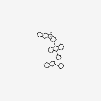 c1ccc(-c2ccc3ccccc3c2)c(-c2ccc(-c3c4ccccc4c(-c4ccc5sc6cc7ccccc7cc6c5c4)c4ccccc34)cc2)c1